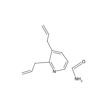 C=CCc1cccnc1CC=C.NC=O